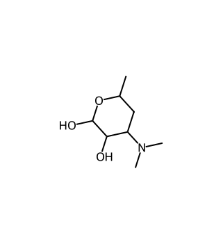 CC1CC(N(C)C)C(O)C(O)O1